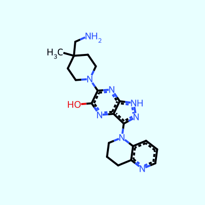 CC1(CN)CCN(c2nc3[nH]nc(N4CCCc5ncccc54)c3nc2O)CC1